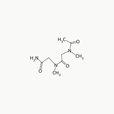 CC(=O)N(C)CC(=O)N(C)CC(N)=O